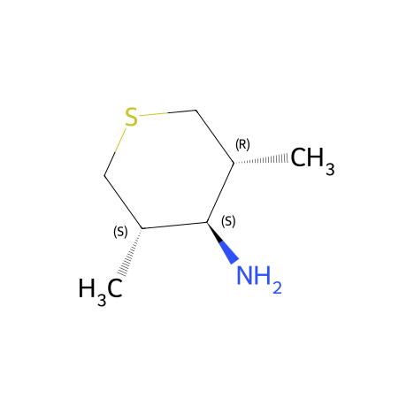 C[C@@H]1CSC[C@H](C)[C@H]1N